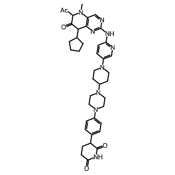 CC(=O)C1C(=O)C(C2CCCC2)c2nc(Nc3ccc(N4CCC(N5CCN(c6ccc(C7CCC(=O)NC7=O)cc6)CC5)CC4)cn3)ncc2N1C